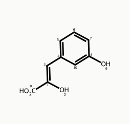 O=C(O)/C(O)=C/c1cccc(O)c1